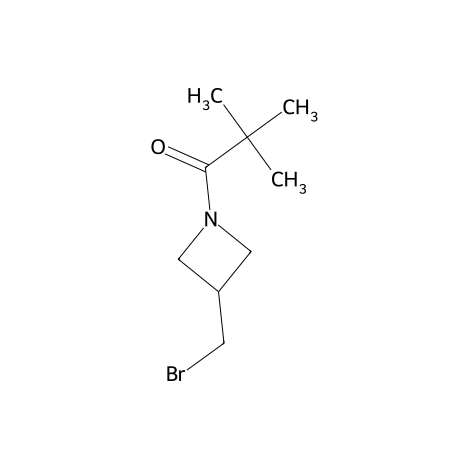 CC(C)(C)C(=O)N1CC(CBr)C1